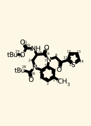 Cc1ccc2c(c1)N(CC(=O)c1cccs1)C(=O)C(NC(=O)OC(C)(C)C)CN2C(=O)C(C)(C)C